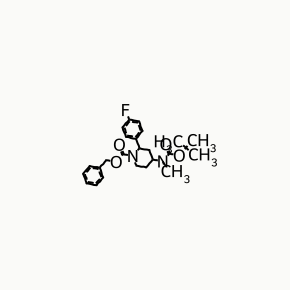 CN(C(=O)OC(C)(C)C)C1CCN(C(=O)OCc2ccccc2)C(c2ccc(F)cc2)C1